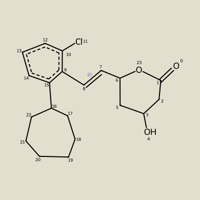 O=C1CC(O)CC(/C=C/c2c(Cl)cccc2C2CCCCCC2)O1